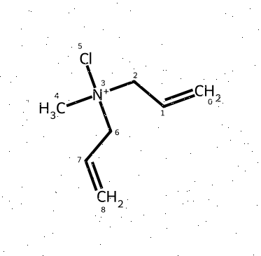 C=CC[N+](C)(Cl)CC=C